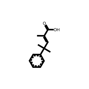 C/C(=C\C(C)(C)c1ccccc1)C(=O)O